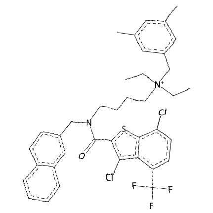 CC[N+](CC)(CCCCN(Cc1ccc2ccccc2c1)C(=O)c1sc2c(Cl)ccc(C(F)(F)F)c2c1Cl)Cc1cc(C)cc(C)c1